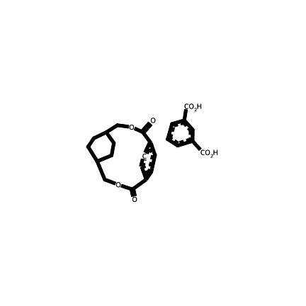 O=C(O)c1cccc(C(=O)O)c1.O=C1OCC2CCC(CC2)COC(=O)c2ccc1cc2